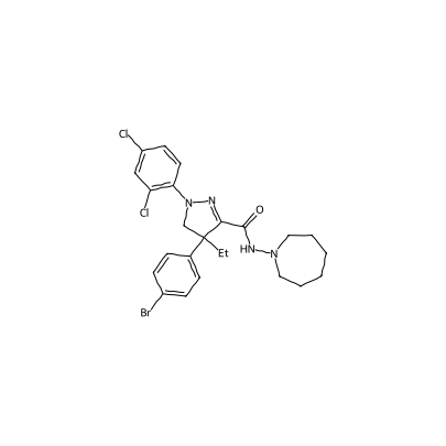 CCC1(c2ccc(Br)cc2)CN(c2ccc(Cl)cc2Cl)N=C1C(=O)NN1CCCCCC1